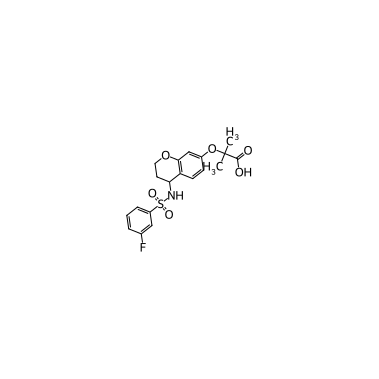 CC(C)(Oc1ccc2c(c1)OCCC2NS(=O)(=O)c1cccc(F)c1)C(=O)O